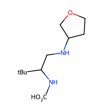 CC(C)(C)C(CNC1CCOC1)NC(=O)O